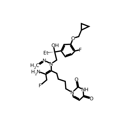 C=NN(C[C@](O)(CC)c1ccc(F)c(OCC2CC2)c1)/C(CCCCn1ccc(=O)[nH]c1=O)=C(\N)CF